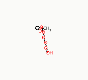 C=C(Oc1ccccc1)C(=O)OCCOCCOCCOCCO